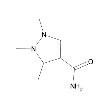 CC1C(C(N)=O)=CN(C)N1C